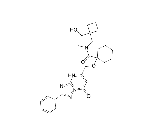 CN(CC1(CO)CCC1)C(=O)C1(OCc2cc(=O)n3nc(C4C=CC=CC4)nc3[nH]2)CCCCC1